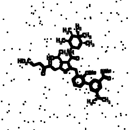 CNC(=O)c1cc(-c2cccc(CN3O[C@@H](CNC(=O)CCC(=O)O)[C@@H]([C@H](C)O)[C@H]3C(=O)N[C@H]3C[C@@H](C)C(C)(C)[C@@H](C)[C@@H]3C)c2OC)cc(N(C)C)c1